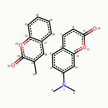 CN(C)c1ccc2ccc(=O)oc2c1.Cc1cc2ccccc2oc1=O